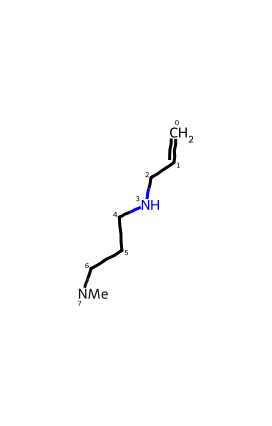 C=CCNCCCNC